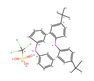 CC(C)(C)c1ccc([I+]c2ccc(C(C)(C)C)cc2)cc1.O=S(=O)(O)C(F)(F)F.c1ccc([I+]c2ccccc2)cc1